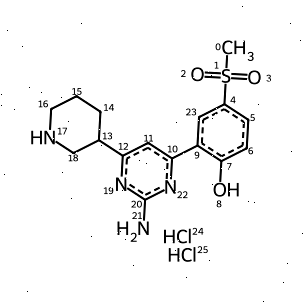 CS(=O)(=O)c1ccc(O)c(-c2cc(C3CCCNC3)nc(N)n2)c1.Cl.Cl